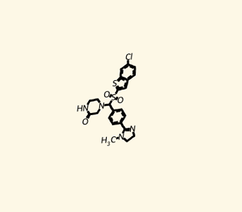 CN1CCN=C1c1ccc(C(N2CCNC(=O)C2)S(=O)(=O)c2cc3ccc(Cl)cc3s2)cc1